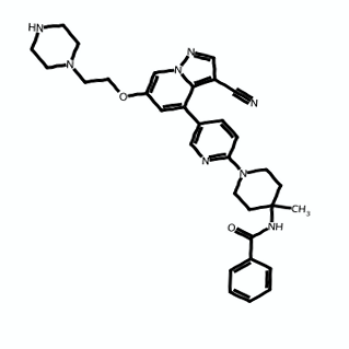 CC1(NC(=O)c2ccccc2)CCN(c2ccc(-c3cc(OCCN4CCNCC4)cn4ncc(C#N)c34)cn2)CC1